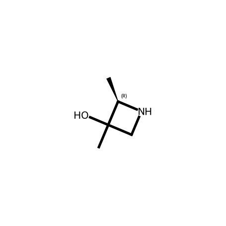 C[C@H]1NCC1(C)O